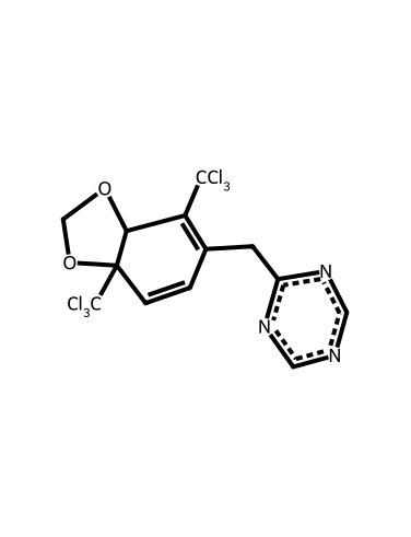 ClC(Cl)(Cl)C1=C(Cc2ncncn2)C=CC2(C(Cl)(Cl)Cl)OCOC12